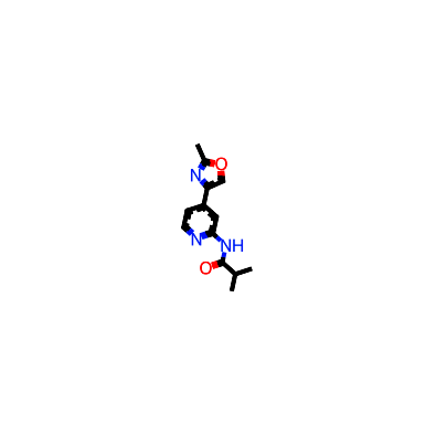 Cc1nc(-c2ccnc(NC(=O)C(C)C)c2)co1